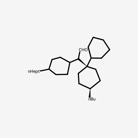 CCCCCCCC1CCC(C(C=O)[C@]2(C3CCCCC3)CC[C@H](CCCC)CC2)CC1